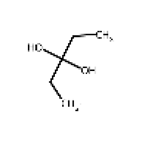 [CH2]CC(O)(O)CC